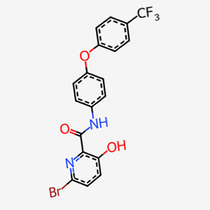 O=C(Nc1ccc(Oc2ccc(C(F)(F)F)cc2)cc1)c1nc(Br)ccc1O